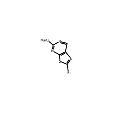 CCc1nc2cnc(OC)nc2s1